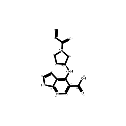 C=CC(=O)N1CC[C@H](Nc2c(C(=O)O)cnc3[nH]ccc23)C1